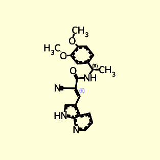 COc1ccc([C@@H](C)NC(=O)/C(C#N)=C/c2c[nH]c3ncccc23)cc1OC